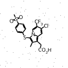 Cc1c(CC(=O)O)c2cc(Cl)c(C(F)(F)F)cn2c1Sc1ccc(S(C)(=O)=O)cc1